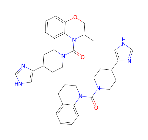 CC1COc2ccccc2N1C(=O)N1CCC(c2c[nH]cn2)CC1.O=C(N1CCC(c2c[nH]cn2)CC1)N1CCCc2ccccc21